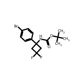 CC(C)(C)OC(=O)NC1(c2ccc(Br)cc2)CC(F)(F)C1